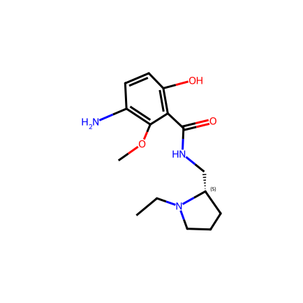 CCN1CCC[C@H]1CNC(=O)c1c(O)ccc(N)c1OC